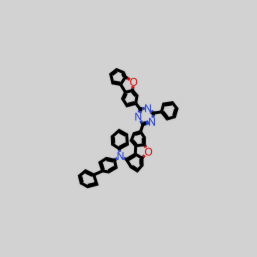 c1ccc(-c2ccc(N(c3ccccc3)c3cccc4oc5cc(-c6nc(-c7ccccc7)nc(-c7ccc8c(c7)oc7ccccc78)n6)ccc5c34)cc2)cc1